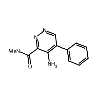 CNC(=O)c1nncc(-c2ccccc2)c1N